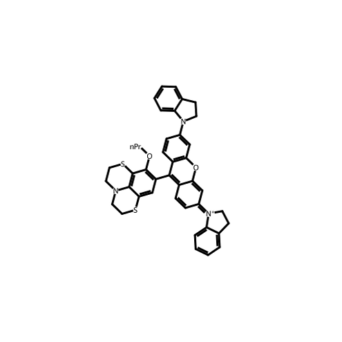 CCCOc1c(-c2c3cc/c(=[N+]4/CCc5ccccc54)cc-3oc3cc(N4CCc5ccccc54)ccc23)cc2c3c1SCCN3CCS2